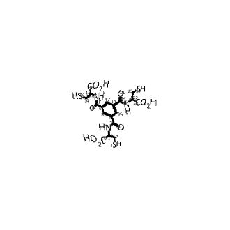 O=C(NC(CS)C(=O)O)c1cc(C(=O)N[C@@H](CS)C(=O)O)cc(C(=O)N[C@@H](CS)C(=O)O)c1